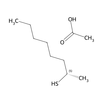 CC(=O)O.CCCCCC[C@H](C)S